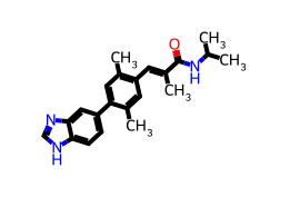 C/C(=C\c1cc(C)c(-c2ccc3[nH]cnc3c2)cc1C)C(=O)NC(C)C